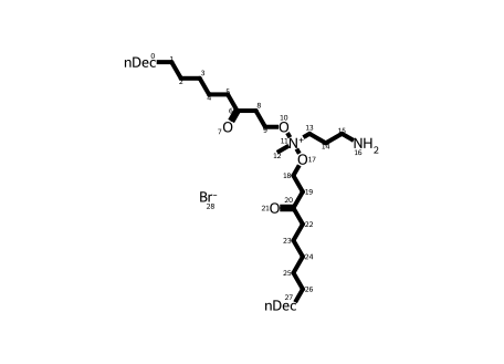 CCCCCCCCCCCCCCCC(=O)CCO[N+](C)(CCCN)OCCC(=O)CCCCCCCCCCCCCCC.[Br-]